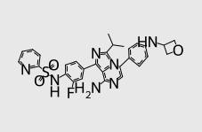 CC(C)c1nc(-c2ccc(NS(=O)(=O)c3ccccn3)c(F)c2)c2c(N)ncc(-c3ccc(NC4COC4)cc3)n12